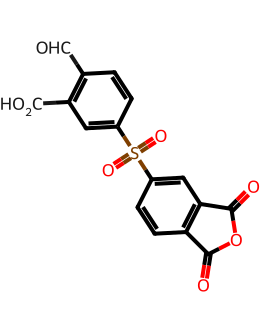 O=Cc1ccc(S(=O)(=O)c2ccc3c(c2)C(=O)OC3=O)cc1C(=O)O